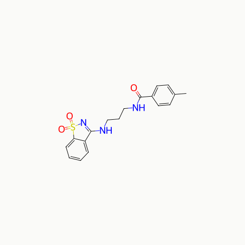 Cc1ccc(C(=O)NCCCNC2=NS(=O)(=O)c3ccccc32)cc1